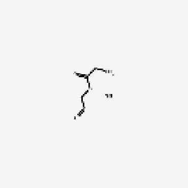 NCC(=O)OCP=O.[NaH]